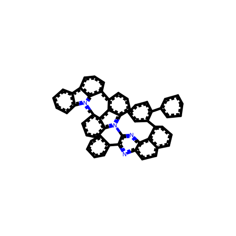 c1ccc(-c2ccccc2-c2cccc3ccc4nc(-c5ccccc5)c(-n5c6cccc7c8cccc9c%10ccccc%10n(c%10cccc5c%10c76)c89)nc4c23)cc1